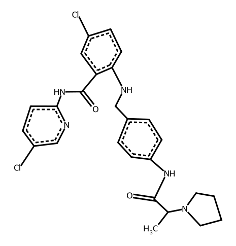 CC(C(=O)Nc1ccc(CNc2ccc(Cl)cc2C(=O)Nc2ccc(Cl)cn2)cc1)N1CCCC1